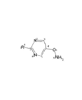 CC(C)c1ncc(ON)cn1